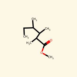 CCC(C)C(C)C(C)C(=O)OC